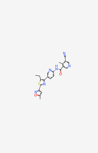 CCc1sc(-c2cc(C)on2)nc1-c1ccc(NC(=O)c2cncc(C#N)c2C)nc1